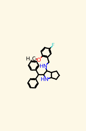 COc1ccc(F)cc1CNC1C2CCCC2NC1C(c1ccccc1)c1ccccc1